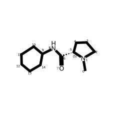 CN1CCC[C@H]1C(=O)NC1CCCCC1